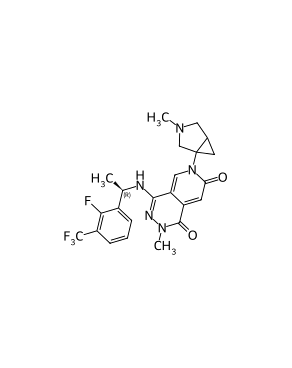 C[C@@H](Nc1nn(C)c(=O)c2cc(=O)n(C34CC3CN(C)C4)cc12)c1cccc(C(F)(F)F)c1F